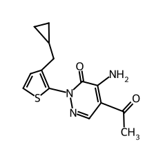 CC(=O)c1cnn(-c2sccc2CC2CC2)c(=O)c1N